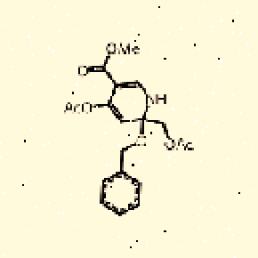 COC(=O)C1=CNC(COC(C)=O)(OCc2ccccc2)C=C1OC(C)=O